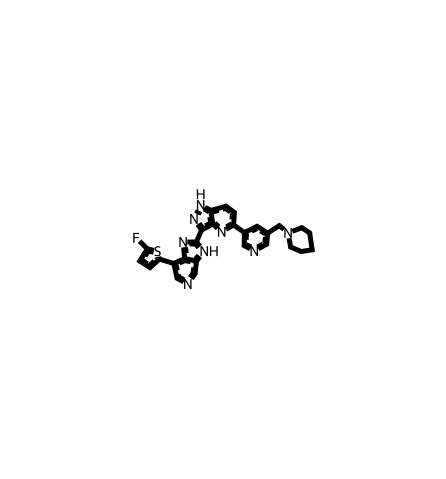 Fc1ccc(-c2cncc3[nH]c(-c4n[nH]c5ccc(-c6cncc(CN7CCCCC7)c6)nc45)nc23)s1